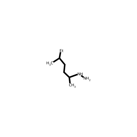 CCC(C)CCC(C)NN